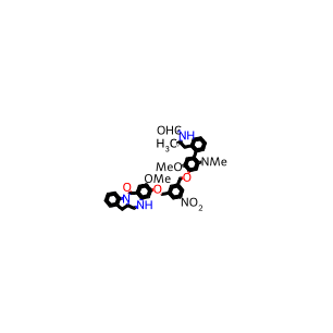 CNc1cc(OCc2cc(COc3cc4c(cc3OC)C(=O)N3c5ccccc5CC3CN4)cc([N+](=O)[O-])c2)c(OC)cc1-c1ccccc1C[C@@H](C)NC=O